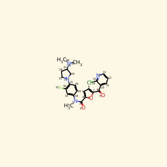 CN(C(=O)c1ccc(C(=O)c2cccnc2Cl)o1)c1ccc(N2CCC(N(C)C)C2)c(F)c1